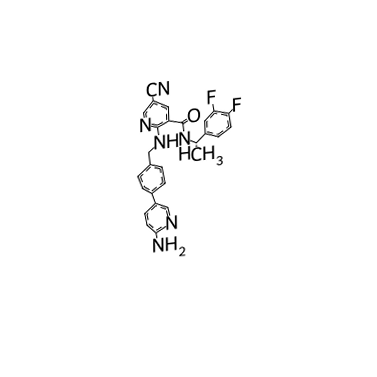 C[C@H](NC(=O)c1cc(C#N)cnc1NCc1ccc(-c2ccc(N)nc2)cc1)c1ccc(F)c(F)c1